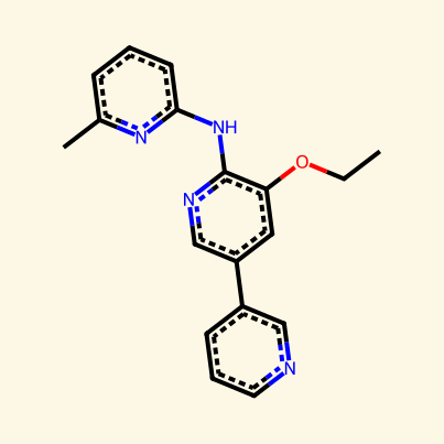 CCOc1cc(-c2cccnc2)cnc1Nc1cccc(C)n1